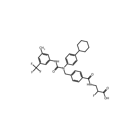 Cc1cc(NC(=O)N(Cc2ccc(C(=O)NCC(F)C(=O)O)cc2)c2ccc(C3CCCCC3)cc2)cc(C(F)(F)F)c1